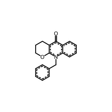 O=c1c2c(n(Cc3ccccc3)c3ccccc13)OCCC2